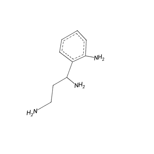 NCCC(N)c1ccccc1N